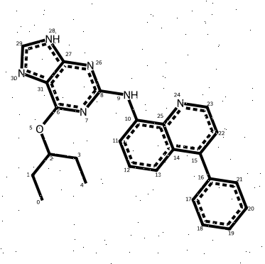 CCC(CC)Oc1nc(Nc2cccc3c(-c4ccccc4)ccnc23)nc2[nH]cnc12